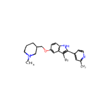 Cc1cc(-c2[nH]c3ccc(OCC4CCCN(C)C4)cc3c2C(C)C)ccn1